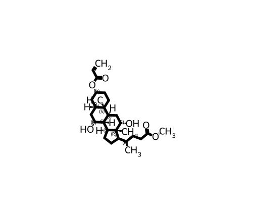 C=CC(=O)O[C@@H]1CC[C@@]2(C)[C@@H](C1)C[C@@H](O)[C@@H]1[C@@H]2C[C@H](O)[C@]2(C)C([C@H](C)CCC(=O)OC)CC[C@@H]12